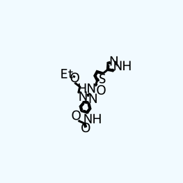 CCOCCCn1c(NC(=O)c2ccc(-c3cn[nH]c3)s2)nc2cc3c(cc21)OCC(=O)N3